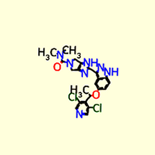 CC(Oc1ccc2[nH]nc(-c3nc4c([nH]3)CN(C(=O)N(C)C)C4)c2c1)c1c(Cl)cncc1Cl